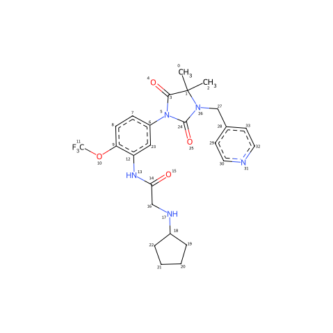 CC1(C)C(=O)N(c2ccc(OC(F)(F)F)c(NC(=O)CNC3CCCC3)c2)C(=O)N1Cc1ccncc1